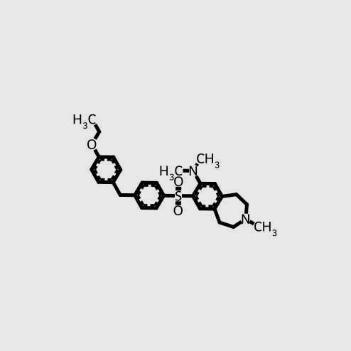 CCOc1ccc(Cc2ccc(S(=O)(=O)c3cc4c(cc3N(C)C)CCN(C)CC4)cc2)cc1